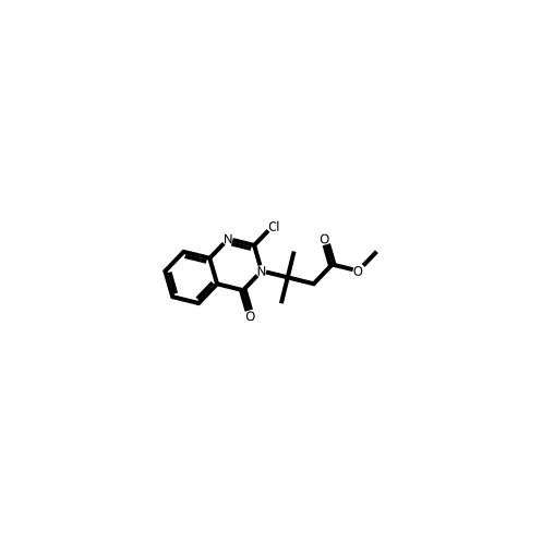 COC(=O)CC(C)(C)n1c(Cl)nc2ccccc2c1=O